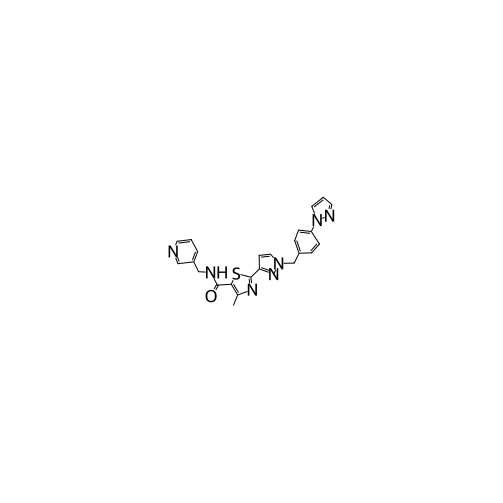 Cc1nc(-c2ccn(Cc3ccc(-n4cccn4)cc3)n2)sc1C(=O)NCc1cccnc1